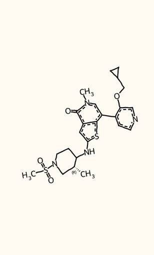 C[C@@H]1CN(S(C)(=O)=O)CCC1Nc1cc2c(=O)n(C)cc(-c3ccncc3OCC3CC3)c2s1